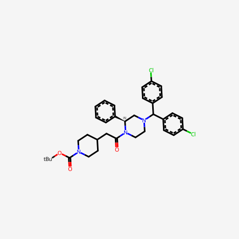 CC(C)(C)OC(=O)N1CCC(CC(=O)N2CCN(C(c3ccc(Cl)cc3)c3ccc(Cl)cc3)C[C@@H]2c2ccccc2)CC1